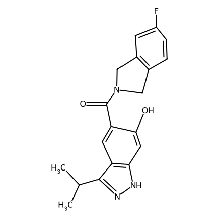 CC(C)c1n[nH]c2cc(O)c(C(=O)N3Cc4ccc(F)cc4C3)cc12